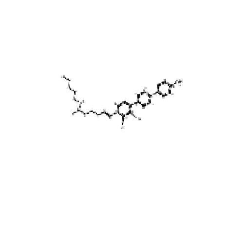 CCCCCOC(C)CCCC=Cc1ccc(-c2ccc(-c3ccc(O)cc3)nc2)c(F)c1F